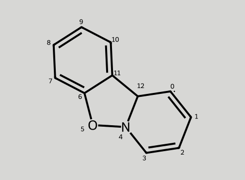 [C]1=CC=CN2Oc3ccccc3C12